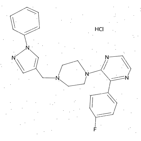 Cl.Fc1ccc(-c2nccnc2N2CCN(Cc3cnn(-c4ccccc4)c3)CC2)cc1